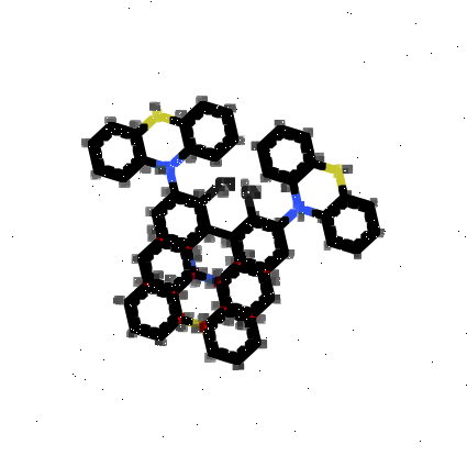 N#Cc1c(N2c3ccccc3Sc3ccccc32)ccc(N2c3ccccc3Sc3ccccc32)c1-c1c(N2c3ccccc3Sc3ccccc32)ccc(N2c3ccccc3Sc3ccccc32)c1C#N